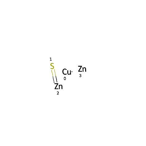 [Cu].[S]=[Zn].[Zn]